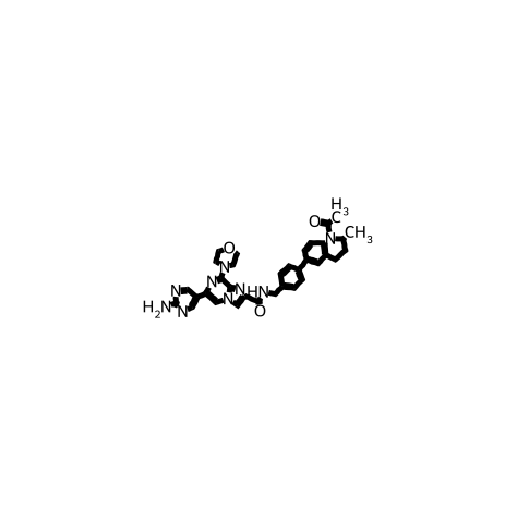 CC(=O)N1c2ccc(-c3ccc(CNC(=O)c4cn5cc(-c6cnc(N)nc6)nc(N6CCOCC6)c5n4)cc3)cc2CCC1C